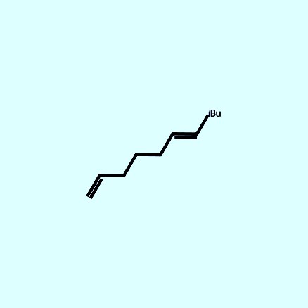 C=CCCCC=CC(C)CC